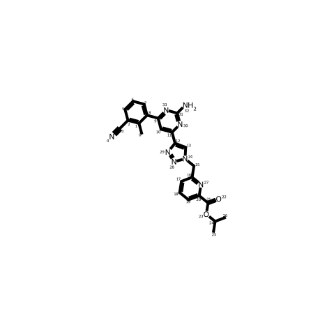 Cc1c(C#N)cccc1-c1cc(-c2cn(Cc3cccc(C(=O)OC(C)C)n3)nn2)nc(N)n1